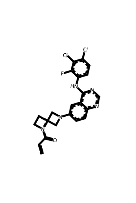 C=CC(=O)N1CCC12CN(c1ccc3ncnc(Nc4ccc(Cl)c(Cl)c4F)c3c1)C2